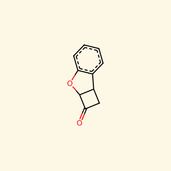 O=C1CC2c3ccccc3OC12